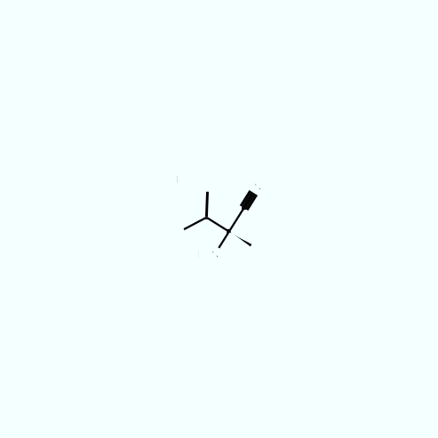 CC(C)[C@@](C)(N)C#N.Cl